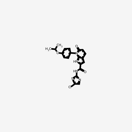 CC(C)Oc1ccc(-n2c(=O)ccc3cc(C(=O)Nc4ncc(Cl)s4)[nH]c32)cc1